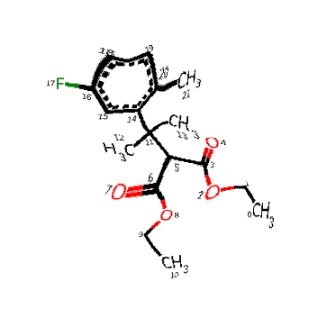 CCOC(=O)C(C(=O)OCC)C(C)(C)c1cc(F)ccc1C